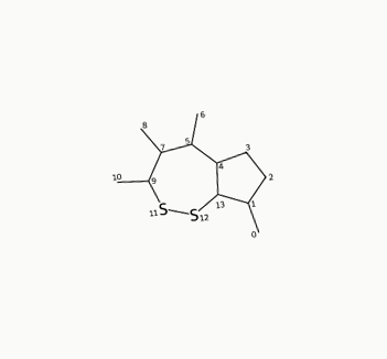 CC1CCC2C(C)C(C)C(C)SSC12